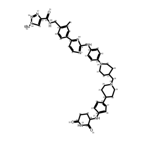 Cc1cc(-c2ccnc(Nc3ccc(N4CCC(CN5CCC(c6ccc(NC7CCC(=O)NC7=O)cc6)CC5)CC4)cc3)n2)ccc1CNC(=O)c1cn(C(C)(C)C)nn1